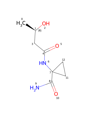 C[C@@H](O)CC(=O)NC1(C(N)=O)CC1